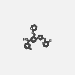 Cc1cccc(C(O)c2ccc(N3CC[C@H](Oc4ncccc4Cl)C3)c(COC3CCCCO3)c2)c1